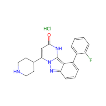 Cl.O=c1cc(C2CCNCC2)n2nc3cccc(-c4ccccc4F)c3c2[nH]1